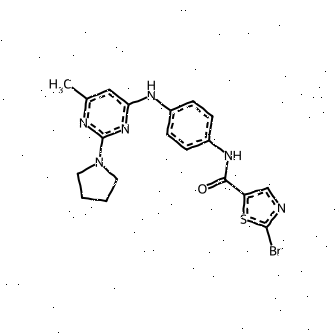 Cc1cc(Nc2ccc(NC(=O)c3cnc(Br)s3)cc2)nc(N2CCCC2)n1